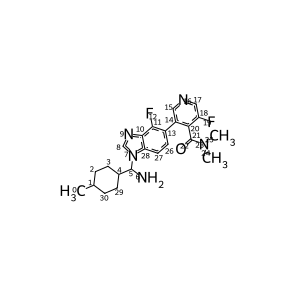 CC1CCC(C(N)n2cnc3c(F)c(-c4cncc(F)c4C(=O)N(C)C)ccc32)CC1